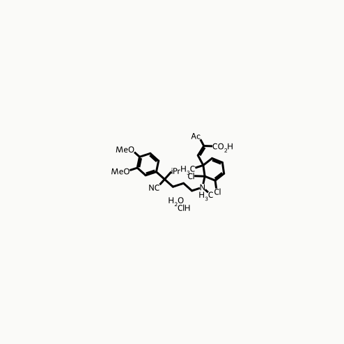 COc1ccc(C(C#N)(CCCN(C)C2(Cl)C(Cl)=CC=CC2(C)C=C(C(C)=O)C(=O)O)C(C)C)cc1OC.Cl.O